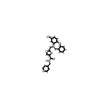 O=C(NCc1ccncc1)c1coc(CN2Cc3ccccc3Oc3ccc(Cl)cc32)n1